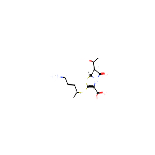 CC(CCCN)SC1=C(C(=O)O)N2C(=O)C(C(C)O)[C@H]2S1